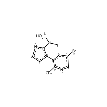 CC(C(=O)O)n1nccc1-c1cc(Br)cnc1Cl